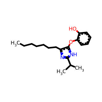 CCCCCCCc1nc(C(C)C)[nH]c1Oc1ccccc1O